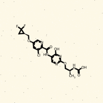 C[C@@H](COc1ncc(NC(=O)c2ncc(OC[C@H]3CC3(F)F)cc2Cl)c(O)n1)NC(=O)O